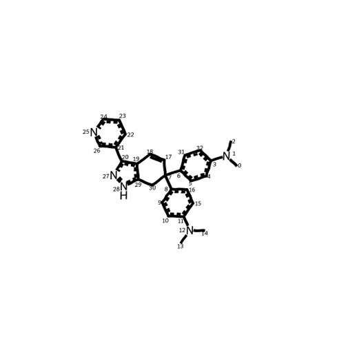 CN(C)c1ccc(C2(c3ccc(N(C)C)cc3)C=Cc3c(-c4cccnc4)n[nH]c3C2)cc1